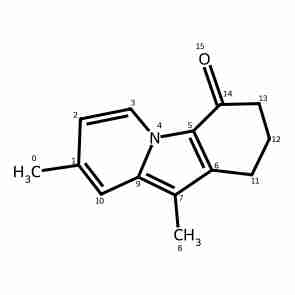 Cc1ccn2c3c(c(C)c2c1)CCCC3=O